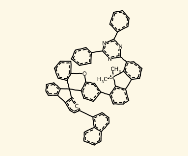 C[Si]1(C)c2c(-c3ccc4c(c3)Oc3ccccc3C43c4ccccc4-c4ccc(-c5cccc6ccccc56)cc43)cccc2-c2cccc(-c3nc(-c4ccccc4)nc(-c4ccccc4)n3)c21